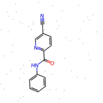 N#Cc1ccc(C(=O)Nc2ccccc2)nc1